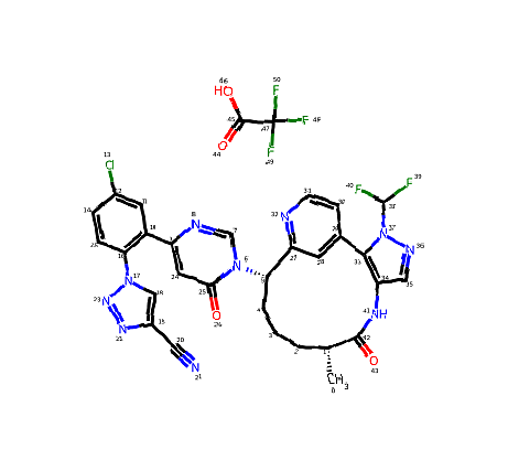 C[C@@H]1CCC[C@H](n2cnc(-c3cc(Cl)ccc3-n3cc(C#N)nn3)cc2=O)c2cc(ccn2)-c2c(cnn2C(F)F)NC1=O.O=C(O)C(F)(F)F